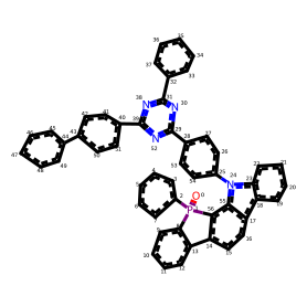 O=P1(c2ccccc2)c2ccccc2-c2ccc3c4ccccc4n(-c4ccc(-c5nc(-c6ccccc6)nc(-c6ccc(-c7ccccc7)cc6)n5)cc4)c3c21